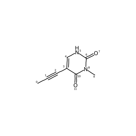 CC#Cc1c[nH]c(=O)n(C)c1=O